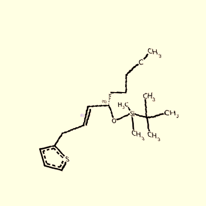 CCCCC[C@@H](/C=C/Cc1cccs1)O[Si](C)(C)C(C)(C)C